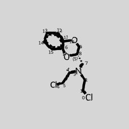 ClCCN(CCCl)C[C@H]1COc2ccccc2O1